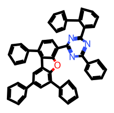 c1ccc(-c2cc(-c3ccccc3)c3oc4c(-c5nc(-c6ccccc6)nc(-c6ccccc6-c6ccccc6)n5)ccc(-c5ccccc5)c4c3c2)cc1